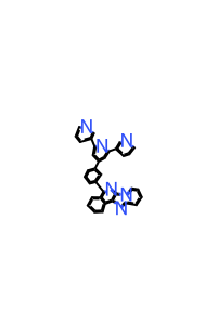 c1cncc(-c2cc(-c3cccc(-c4nc5c(nc6ccccn65)c5ccccc45)c3)cc(-c3cccnc3)n2)c1